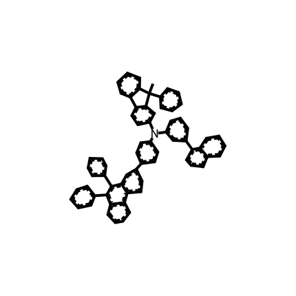 CC1(c2ccccc2)c2ccccc2-c2ccc(N(c3ccc(-c4ccc5c(c4)c(-c4ccccc4)c(-c4ccccc4)c4ccccc45)cc3)c3cccc(-c4cccc5ccccc45)c3)cc21